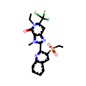 CCn1c(C(F)(F)F)cc2nc(-c3nc4ccccc4cc3S(=O)(=O)CC)n(C)c2c1=O